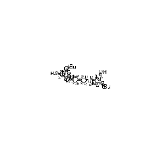 CC(C)(C)OC(=O)N1C[C@@H](O)C[C@H]1C1=NCC(c2ccc(-c3ccc(-c4cnc([C@@H]5C[C@H](O)CN5C(=O)OC(C)(C)C)[nH]4)cc3)cc2)=N1